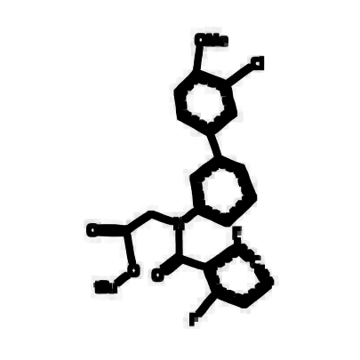 COc1ccc(-c2cccc(N(CC(=O)OC(C)(C)C)C(=O)c3c(F)cccc3F)c2)cc1Cl